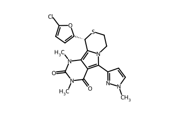 Cn1ccc(-c2c3c(=O)n(C)c(=O)n(C)c3c3n2CCS[C@H]3c2ccc(Cl)o2)n1